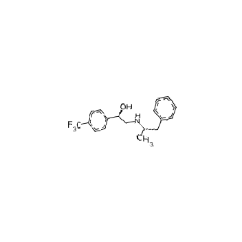 CC(Cc1ccccc1)NC[C@H](O)c1ccc(C(F)(F)F)cc1